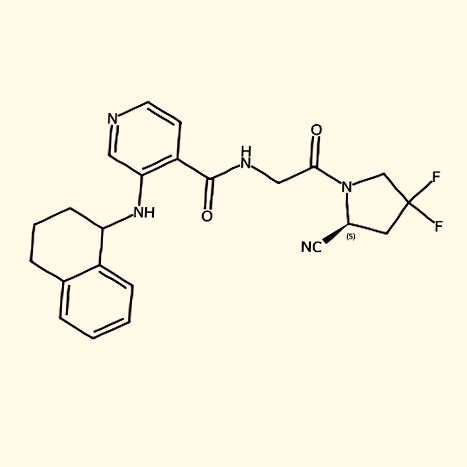 N#C[C@@H]1CC(F)(F)CN1C(=O)CNC(=O)c1ccncc1NC1CCCc2ccccc21